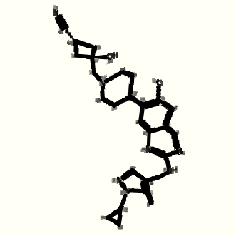 Cc1c(Nc2ncc3cc(Cl)c(C4CCN(C[C@]5(O)C[C@H](C#N)C5)CC4)cc3n2)cnn1C1CC1